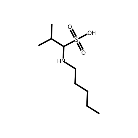 CCCCCNC(C(C)C)S(=O)(=O)O